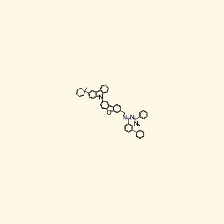 C=N/C(=N\C(=N/Cc1ccc2c(c1)oc1ccc(-n3c4ccccc4c4cc(C5(C)C=CC=CC5)ccc43)cc12)c1cccc(-c2ccccc2)c1)c1ccccc1